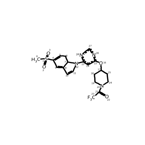 CS(=O)(=O)C1=CCC2C(=C1)C=CN2c1cc(OC2CCN(C(=O)C(F)(F)F)CC2)ncn1